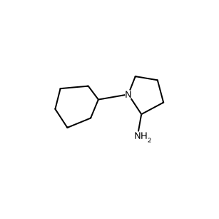 NC1CCCN1C1CCCCC1